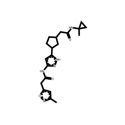 Cc1cc(CC(=O)Nc2cc(C3CCC(CC(=O)NC4(C)CC4)C3)[nH]n2)on1